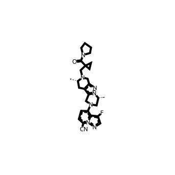 C[C@@H]1CN(c2ccc(C#N)n3ncc(F)c23)Cc2c3c(nn21)CN(CC1(C(=O)N2CCCC2)CC1)[C@@H](C)C3